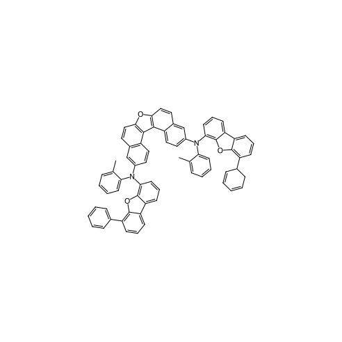 Cc1ccccc1N(c1ccc2c(ccc3oc4ccc5cc(N(c6ccccc6C)c6cccc7c6oc6c(C8C=CC=CC8)cccc67)ccc5c4c32)c1)c1cccc2c1oc1c(-c3ccccc3)cccc12